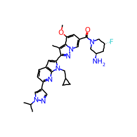 COc1cc(C(=O)N2C[C@H](N)C[C@@H](F)C2)cn2nc(-c3cc4ccc(-c5cnn(C(C)C)c5)nc4n3CC3CC3)c(C)c12